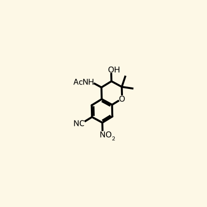 CC(=O)NC1c2cc(C#N)c([N+](=O)[O-])cc2OC(C)(C)C1O